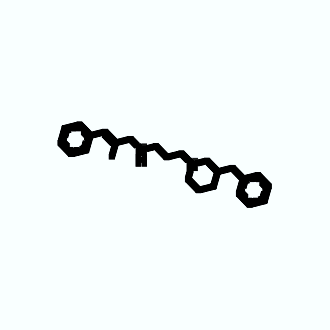 C/C(=C\c1ccccc1)CNCCCN1CCCC(Cc2ccccc2)C1